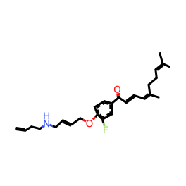 C=CCCNCC=CCOc1ccc(C(=O)C=CC=C(C)CCC=C(C)C)cc1F